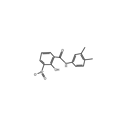 Cc1ccc(NC(=O)c2cccc([N+](=O)[O-])c2O)cc1C